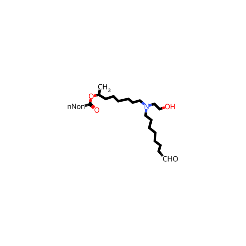 CCCCCCCCCC(=O)OC(C)CCCCCCN(CCO)CCCCCCCC=O